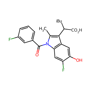 CCC(C)C(C(=O)O)c1c(C)n(C(=O)c2cccc(F)c2)c2cc(F)c(O)cc12